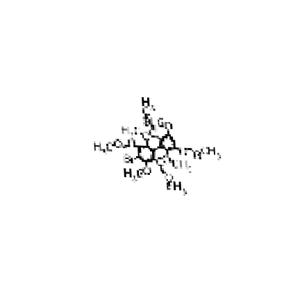 COCOc1cc(OC)c(OCOC)c(-c2c(OC)c(OCOC)c(Br)c(OC)c2OCOC)c1OC